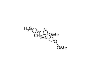 COCCOc1ccc(Nc2ccnc3cc(N4CCN(C)C[C@@H]4C)ccc23)c(OC)c1